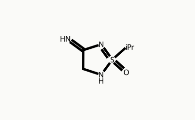 CC(C)S1(=O)=NC(=N)CN1